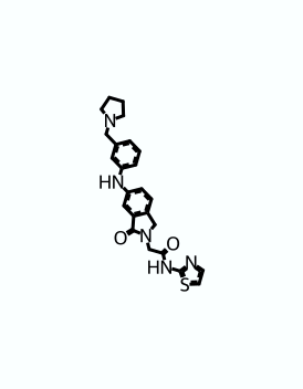 O=C(CN1Cc2ccc(Nc3cccc(CN4CCCC4)c3)cc2C1=O)Nc1nccs1